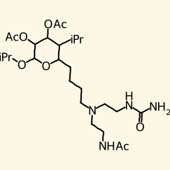 CC(=O)NCCN(CCCCC1OC(OC(C)C)C(OC(C)=O)C(OC(C)=O)C1C(C)C)CCNC(N)=O